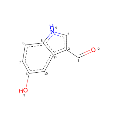 O=Cc1c[nH]c2ccc(O)cc12